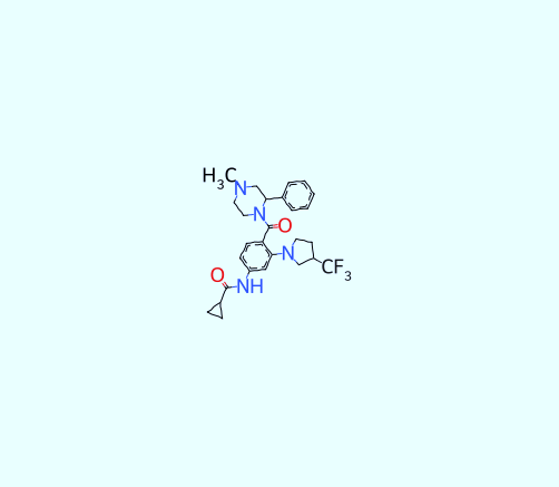 CN1CCN(C(=O)c2ccc(NC(=O)C3CC3)cc2N2CCC(C(F)(F)F)C2)C(c2ccccc2)C1